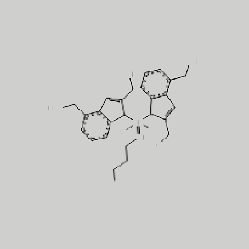 CCCC[SiH]=[Hf]([Cl])([Cl])([CH]1C(CC)=Cc2c(CC)cccc21)[CH]1C(CC)=Cc2c(CC)cccc21